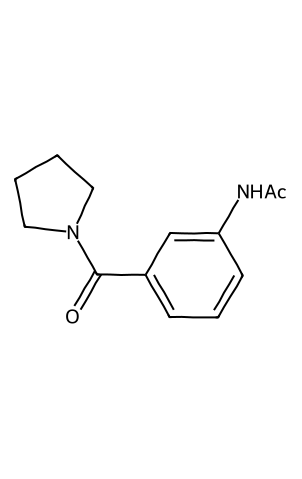 CC(=O)Nc1cccc(C(=O)N2CCCC2)c1